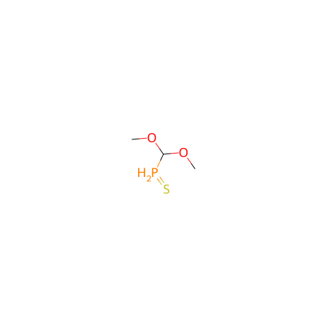 COC(OC)[PH2]=S